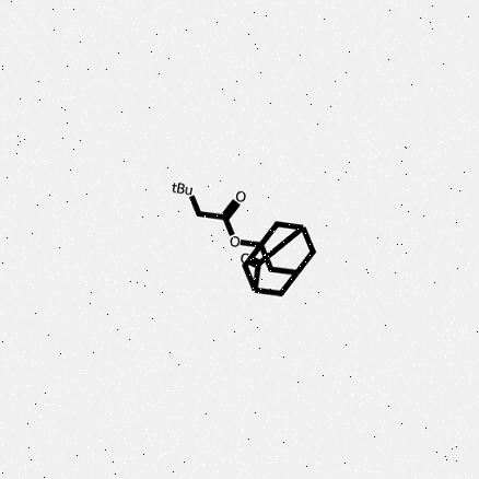 CC(C)(C)CC(=O)OC12CC3CC(C1)C(=O)C(C3)C2